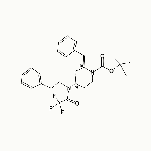 CC(C)(C)OC(=O)N1CC[C@H](N(CCc2ccccc2)C(=O)C(F)(F)F)C[C@H]1Cc1ccccc1